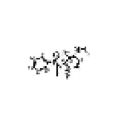 Nc1ccc(F)c(NC(=O)c2ccccc2)c1F